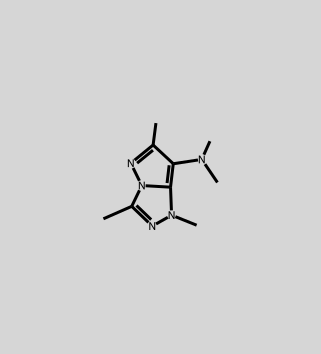 Cc1nn2c(C)nn(C)c2c1N(C)C